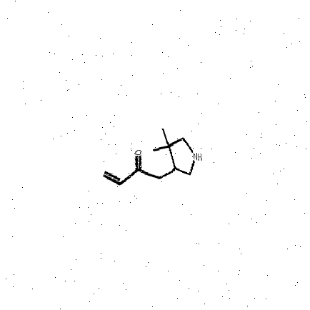 C=CC(=O)CC1CNCC1(C)C